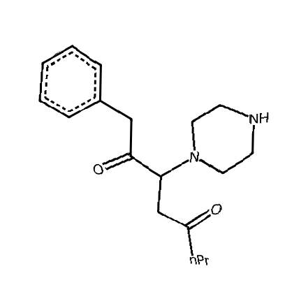 CCCC(=O)CC(C(=O)Cc1ccccc1)N1CCNCC1